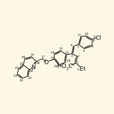 CCC(=CC(=Cc1ccc(Cl)cc1)c1ccc(OCc2ccc3ccccc3n2)cc1)C(=O)O